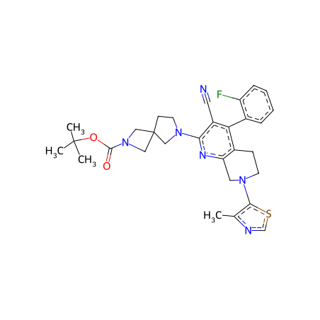 Cc1ncsc1N1CCc2c(nc(N3CCC4(CN(C(=O)OC(C)(C)C)C4)C3)c(C#N)c2-c2ccccc2F)C1